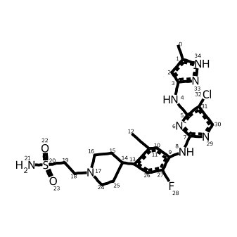 Cc1cc(Nc2nc(Nc3cc(C)c(C4CCN(CCS(N)(=O)=O)CC4)cc3F)ncc2Cl)n[nH]1